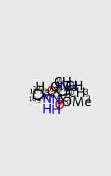 COC(=O)C1(NC(=O)NC2CCCCC2)CC(C)(C)NC(C)(C)C1